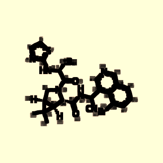 CC(C)(C)[C@H](Nc1nccs1)C(=O)N1C[C@H]2[C@@H]([C@H]1C(=O)NC(C#N)c1cncc3cccc(Br)c13)C2(C)C